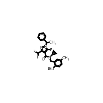 Cc1ccc(C(C)(C)C)c(CN(C(=O)c2c(C(F)F)nn(C(C)c3ccccc3)c2F)C2CC2)c1